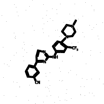 CN1CCN(c2ccc(Nc3nccc(-c4cccc(C#N)c4)n3)cc2C(F)(F)F)CC1